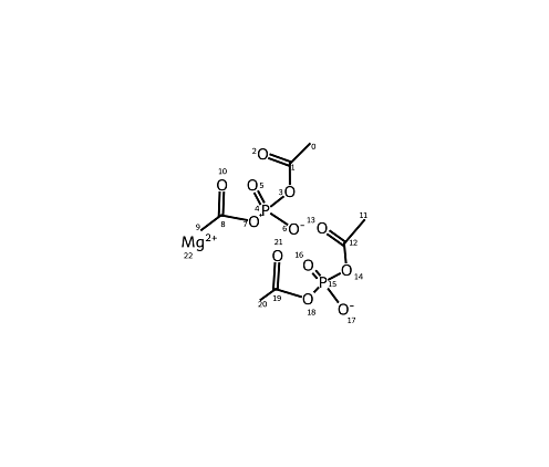 CC(=O)OP(=O)([O-])OC(C)=O.CC(=O)OP(=O)([O-])OC(C)=O.[Mg+2]